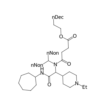 CCCCCCCCCCCCOC(=O)CCC(=O)N(C(CCCCCCCCC)CCCCCCCCC)C(C(=O)NC1CCCCCC1)C1CCN(CC)CC1